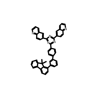 CC1(C)c2ccccc2-c2cccc(-c3cccc(-c4ccc(-c5nc(-c6ccc7ncccc7c6)nc(-c6ccc7ncccc7c6)n5)cc4)c3)c21